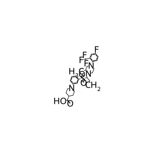 C=CC(N1CCN(c2ccc(F)cc2C(F)(F)F)CC1C)S(=O)(=O)c1cccc(N2CCC(C(=O)O)CC2)c1